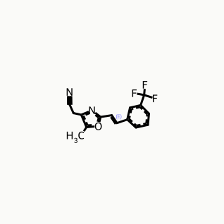 Cc1oc(/C=C/c2cccc(C(F)(F)F)c2)nc1CC#N